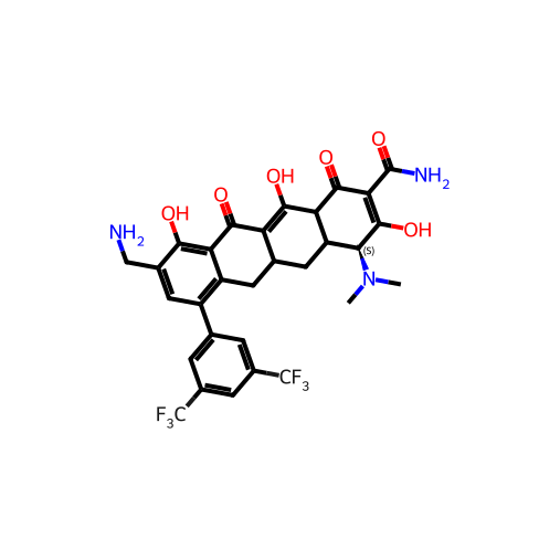 CN(C)[C@@H]1C(O)=C(C(N)=O)C(=O)C2C(O)=C3C(=O)c4c(O)c(CN)cc(-c5cc(C(F)(F)F)cc(C(F)(F)F)c5)c4CC3CC21